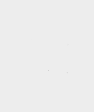 CC(C)OC(=O)c1cc(Br)cc(Br)c1Br